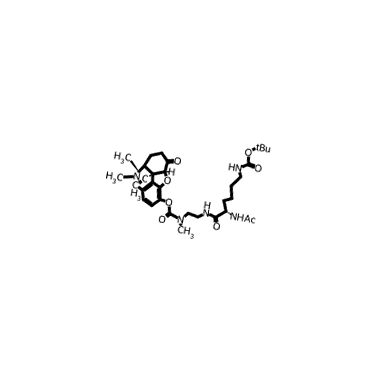 CC(=O)N[C@@H](CCCCNC(=O)OC(C)(C)C)C(=O)NCCN(C)C(=O)Oc1ccc(C)c2c1O[C@@H]1C(=O)CCC3[C@H](C)N(C)CC[C@]231